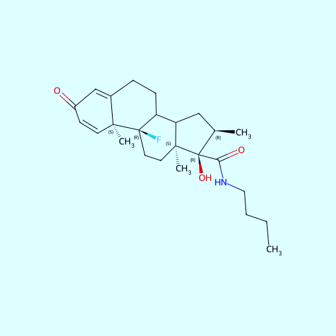 CCCCNC(=O)[C@@]1(O)[C@H](C)CC2C3CCC4=CC(=O)C=C[C@]4(C)[C@@]3(F)CC[C@@]21C